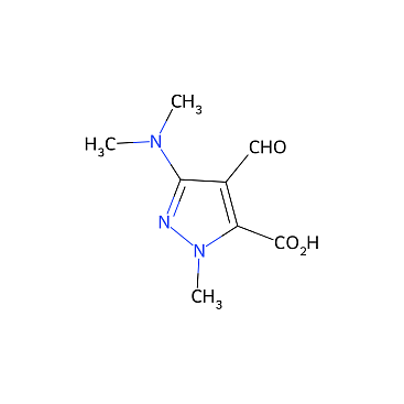 CN(C)c1nn(C)c(C(=O)O)c1C=O